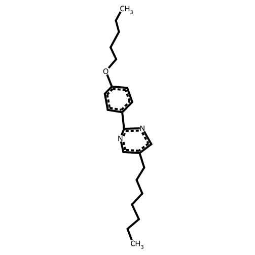 CCCCCCCc1cnc(-c2ccc(OCCCCC)cc2)nc1